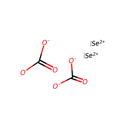 O=C([O-])[O-].O=C([O-])[O-].[Se+2].[Se+2]